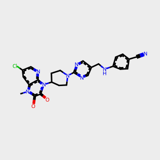 Cn1c(=O)c(=O)n(C2CCN(c3ncc(CNc4ccc(C#N)cc4)cn3)CC2)c2ncc(Cl)cc21